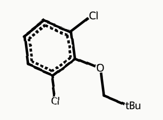 CC(C)(C)COc1c(Cl)cccc1Cl